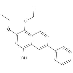 CCOc1cc(O)c2cc(-c3ccccc3)ccc2c1OCC